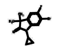 CC1(C)C(=O)N(C2CC2)c2cc(Br)c(F)cc21